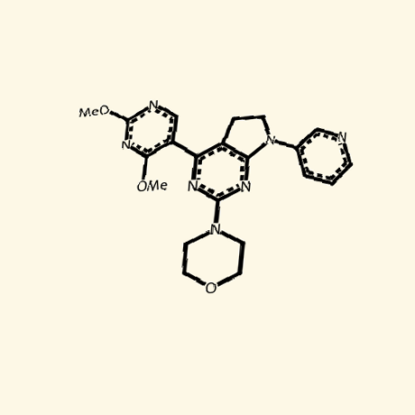 COc1ncc(-c2nc(N3CCOCC3)nc3c2CCN3c2cccnc2)c(OC)n1